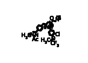 CC(=O)c1nc(-c2ccc(CC(CNC(=O)CN3CCC3)NC(=O)c3ccc(OC(C)C(F)(F)F)c(Cl)c3)cc2)cn1C